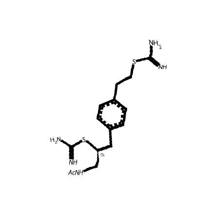 CC(=O)NC[C@H](Cc1ccc(CCSC(=N)N)cc1)SC(=N)N